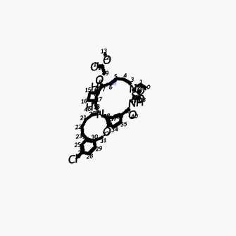 CCN1CC/C=C/C(OCC(=O)OC)[C@@H]2CC[C@H]2CN2CCCCc3cc(Cl)ccc3COc3ccc(cc32)C(=O)NS1(=O)=O